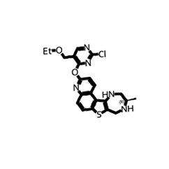 CCOCc1cnc(Cl)nc1Oc1ccc2c(ccc3sc4c(c32)NC[C@@H](C)NC4)n1